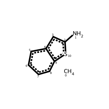 C.Nc1cc2ccccc2s1